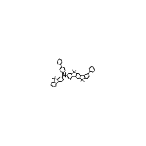 CC1(C)c2ccccc2-c2ccc(N(c3ccc(-c4ccccc4)cc3)c3ccc4c(c3)C(C)(C)c3cc5c(cc3-4)C(C)(C)c3ccc(-c4ccccc4)cc3-5)cc21